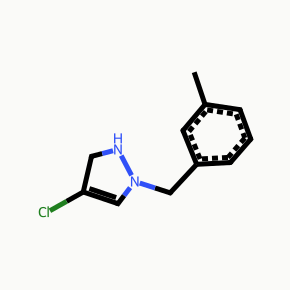 Cc1cccc(CN2C=C(Cl)CN2)c1